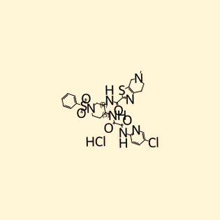 CN1CCc2nc(C(=O)N[C@@H]3CN(S(=O)(=O)c4ccccc4)CC[C@@H]3NC(=O)C(=O)Nc3ccc(Cl)cn3)sc2C1.Cl